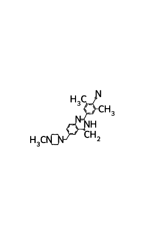 C=C1NC(c2cc(C)c(C#N)c(C)c2)=Nc2ccc(CN3CCN(C)CC3)cc21